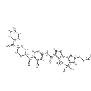 Cn1c(-c2cn(CCC3CC3)nc2C(F)(F)F)cnc1C(=O)Nc1ccc(C(=O)N2CCN(C(=O)C3CCNCC3)CC2)c(Cl)c1